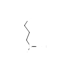 CCN(CCCS)C(=O)O